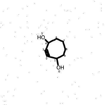 OC1C#CC(O)CCCC1